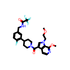 COCCn1cc(C(=O)N2CCC(c3cc(CNC(=O)C(F)(F)F)ccc3F)CC2)c2ccnc(OC)c21